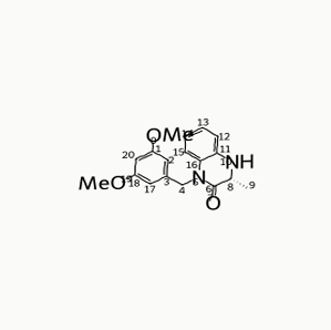 COc1cc(CN2C(=O)[C@@H](C)Nc3ccccc32)cc(OC)c1